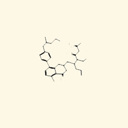 CCCC(C)Cc1ccc(-c2ccc(C)c3c2CC(CC(CCC)C(CC)C(=O)CC(C)=O)CC3=O)cc1